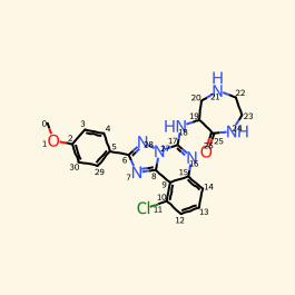 COc1ccc(-c2nc3c4c(Cl)cccc4nc(NC4CNCCNC4=O)n3n2)cc1